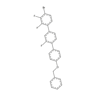 Fc1cc(-c2ccc(Br)c(F)c2F)ccc1-c1ccc(OCc2ccccc2)cc1